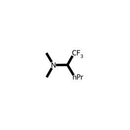 CCCC(N(C)C)C(F)(F)F